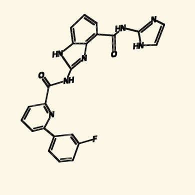 O=C(Nc1nc2c(C(=O)Nc3ncc[nH]3)cccc2[nH]1)c1cccc(-c2cccc(F)c2)n1